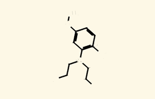 CCCN(CCC)c1cc(OC)ccc1C